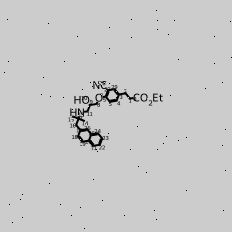 CCOC(=O)CCc1ccc(OCC(O)CNC(C)(C)Cc2ccc3ccccc3c2)c(C#N)c1